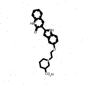 O=C(O)C1CCCN(CCOc2ccc3[nH]c(-c4cc5ccccc5[nH]c4=O)cc3c2)C1